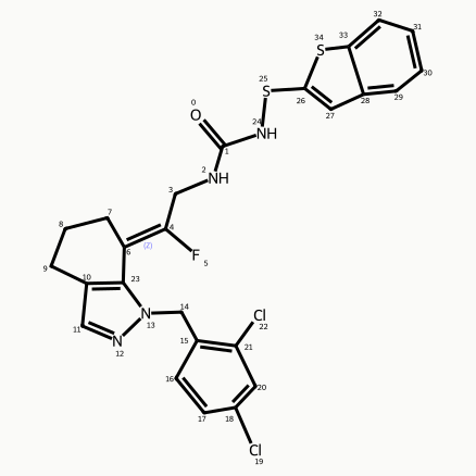 O=C(NC/C(F)=C1\CCCc2cnn(Cc3ccc(Cl)cc3Cl)c21)NSc1cc2ccccc2s1